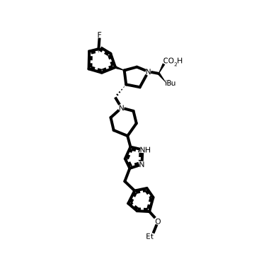 CCOc1ccc(Cc2cc(C3CCN(C[C@H]4CN([C@@H](C(=O)O)[C@H](C)CC)C[C@@H]4c4cccc(F)c4)CC3)[nH]n2)cc1